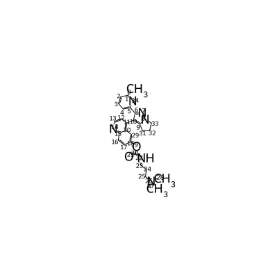 Cc1cccc(-c2nn3c(c2-c2ccnc4ccc(OC(=O)NCCCN(C)C)cc24)CCC3)n1